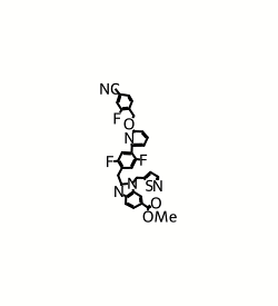 COC(=O)c1ccc2nc(Cc3cc(F)c(-c4cccc(OCc5ccc(C#N)cc5F)n4)cc3F)n(Cc3ccns3)c2c1